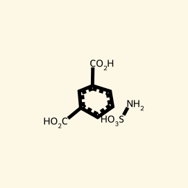 NS(=O)(=O)O.O=C(O)c1cccc(C(=O)O)c1